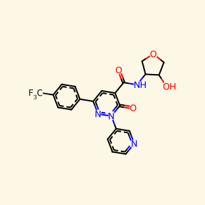 O=C(NC1COCC1O)c1cc(-c2ccc(C(F)(F)F)cc2)nn(-c2cccnc2)c1=O